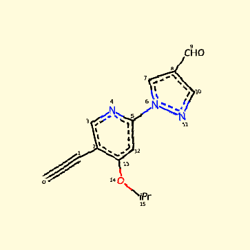 C#Cc1cnc(-n2cc(C=O)cn2)cc1OC(C)C